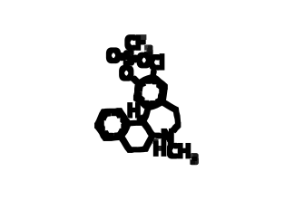 CN1CCc2cc(Cl)c(OS(=O)(=O)C(F)(F)F)cc2[C@H]2c3ccccc3CC[C@@H]21